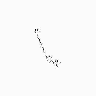 [CH2]CCCCCCCCCCCN1CCN(C(C)C)CC1